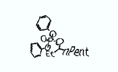 CCCCCC(CC)OP(=O)(Oc1ccccc1)Oc1ccccc1